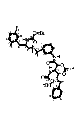 CCCC(=O)OC(C(=O)Nc1cccc(C(=O)NCC(Cc2cc(F)ccc2F)NC(=O)OC(C)(C)C)c1)C(COCc1ccccc1)NC(=O)OC(C)(C)C